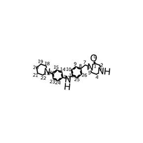 O=C1CNCCN1Cc1ccc(Nc2ccc(N3CCCCC3)cc2)cc1